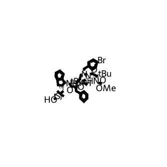 COC(=O)N[C@H](C(=O)NN(CCC[C@](Cc1ccccc1)(O[Si](C)(C)C(C)(C)C)C(=O)N[C@H]1c2ccccc2C[C@H]1CC(C)(C)[Si](C)(C)O)Cc1ccc(Br)cc1)C(C)(C)C